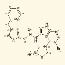 O=C(Nc1c[nH]c2ncc(Br)c(N3CC[C@@H](O)C3)c12)Oc1cnn(Cc2ccccc2)c1